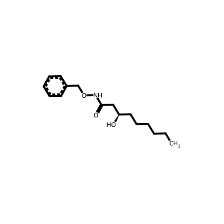 CCCCCC[C@@H](O)CC(=O)NOCc1ccccc1